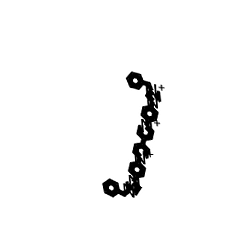 c1ccc(C[n+]2ccn(-c3ccc(-[n+]4ccc(-c5cc[n+](-c6ccc(-n7cc[n+](Cc8ccccc8)c7)cc6)cc5)cc4)cc3)c2)cc1